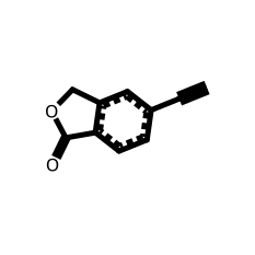 C#Cc1ccc2c(c1)COC2=O